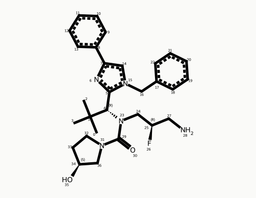 CC(C)(C)[C@H](c1nc(-c2ccccc2)cn1Cc1ccccc1)N(C[C@H](F)CN)C(=O)N1CC[C@H](O)C1